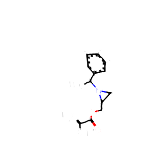 C=C(C)C(=O)OCC1CN1C(C)c1ccccc1